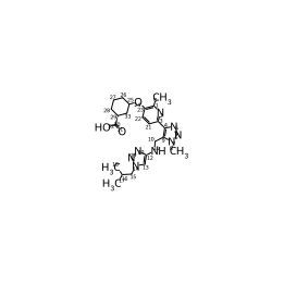 Cc1nc(-c2nnn(C)c2CNc2cn(CC(C)C)nn2)ccc1OC1CCC[C@H](C(=O)O)C1